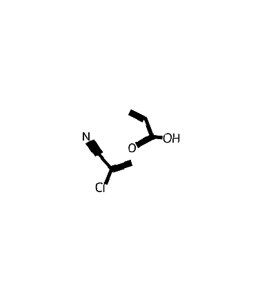 C=C(Cl)C#N.C=CC(=O)O